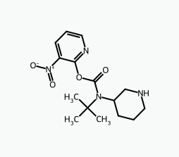 CC(C)(C)N(C(=O)Oc1ncccc1[N+](=O)[O-])C1CCCNC1